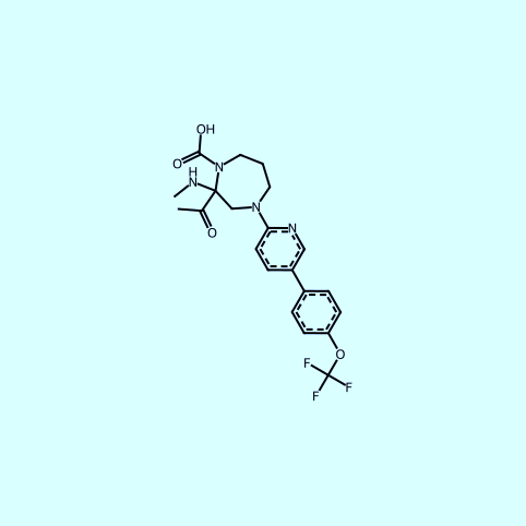 CNC1(C(C)=O)CN(c2ccc(-c3ccc(OC(F)(F)F)cc3)cn2)CCCN1C(=O)O